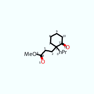 CCCC1(CCC(=O)OC)CCCCC1=O